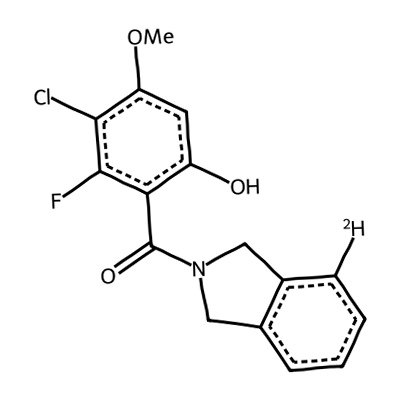 [2H]c1cccc2c1CN(C(=O)c1c(O)cc(OC)c(Cl)c1F)C2